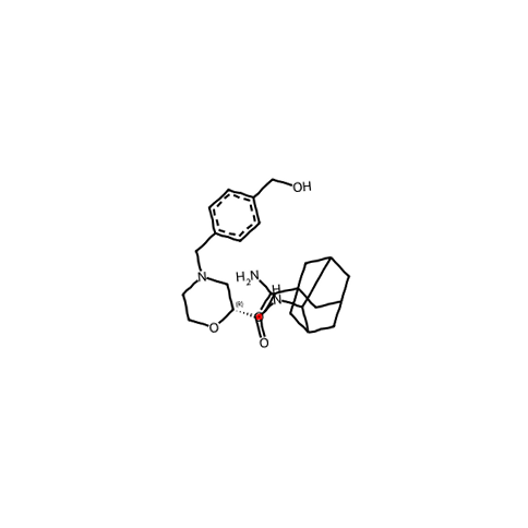 NC(=O)C12CC3CC(C1)C(NC(=O)[C@H]1CN(Cc4ccc(CO)cc4)CCO1)C(C3)C2